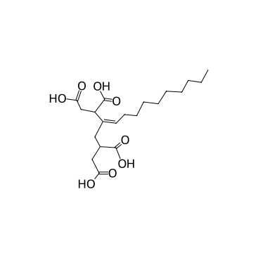 CCCCCCCCCC=C(CC(CC(=O)O)C(=O)O)C(CC(=O)O)C(=O)O